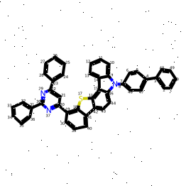 c1ccc(-c2ccc(-n3c4ccccc4c4c5sc6c(-c7cc(-c8ccccc8)nc(-c8ccccc8)n7)cccc6c5ccc43)cc2)cc1